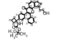 CC(C)(C)OC(=O)NC1(c2ccc(-c3c(-c4ccccc4)oc4c(ccc5cnn(CCO)c54)c3=O)cc2)CCC1